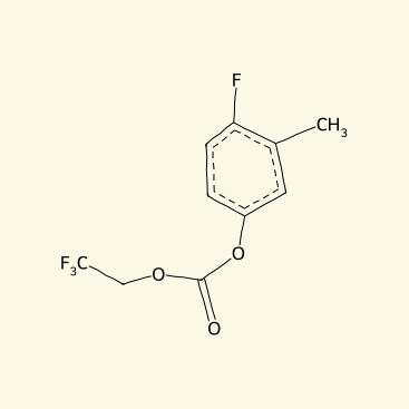 Cc1cc(OC(=O)OCC(F)(F)F)ccc1F